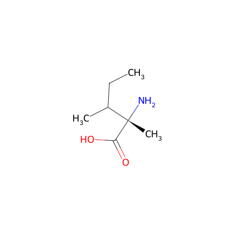 CCC(C)[C@](C)(N)C(=O)O